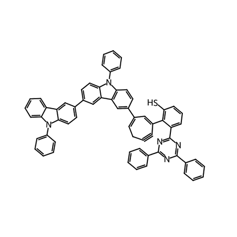 Sc1cccc(-c2nc(-c3ccccc3)nc(-c3ccccc3)n2)c1C1=CC(c2ccc3c(c2)c2cc(-c4ccc5c(c4)c4ccccc4n5-c4ccccc4)ccc2n3-c2ccccc2)=CCC#C1